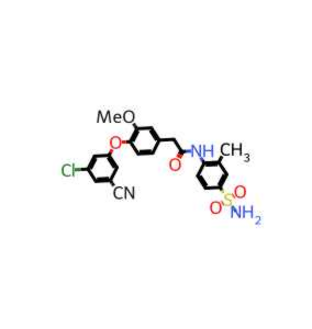 COc1cc(CC(=O)Nc2ccc(S(N)(=O)=O)cc2C)ccc1Oc1cc(Cl)cc(C#N)c1